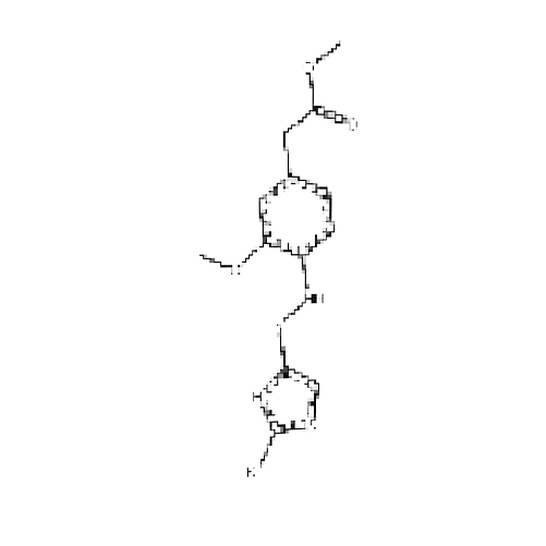 COC(=O)Cc1ccc(NSc2csc(Br)n2)c(OC)c1